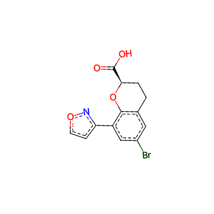 O=C(O)[C@H]1CCc2cc(Br)cc(-c3ccon3)c2O1